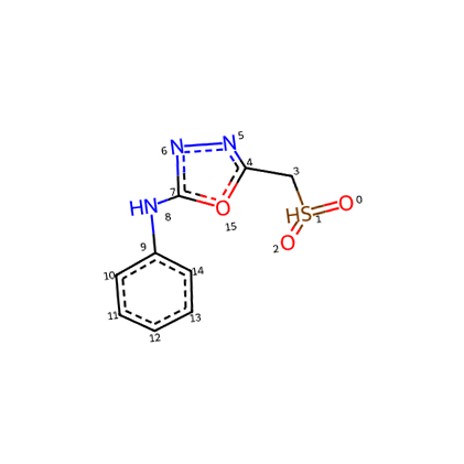 O=[SH](=O)Cc1nnc(Nc2ccccc2)o1